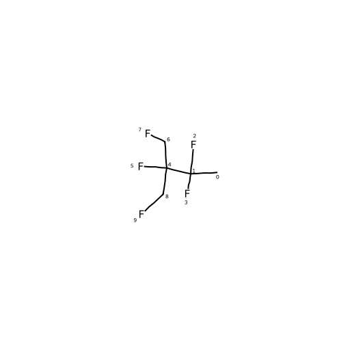 CC(F)(F)C(F)(CF)CF